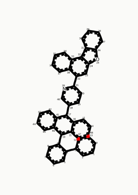 c1ccc(-c2ccccc2-c2c3ccccc3c(-c3ccc(-c4cc5oc6ccccc6c5c5ccccc45)nc3)c3ccccc23)cc1